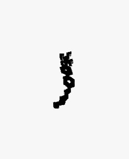 CCCCCCC[C@H]1CC[C@H](c2ccc(OC(F)=C(F)F)cc2)CC1